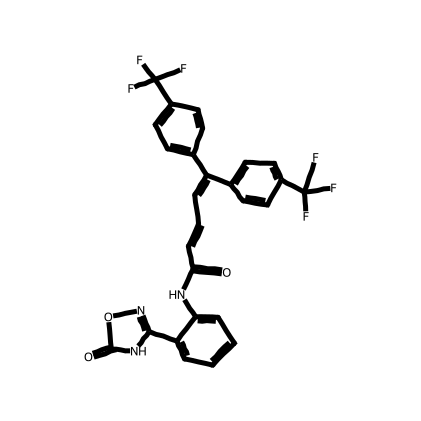 O=C(/C=C/C=C(c1ccc(C(F)(F)F)cc1)c1ccc(C(F)(F)F)cc1)Nc1ccccc1-c1noc(=O)[nH]1